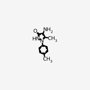 Cc1ccc(-n2[nH]c(=O)c(N)c2C)cc1